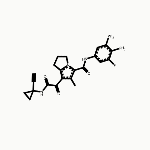 C#CC1(NC(=O)C(=O)c2c(C)c(C(=O)Nc3cc(F)c(P)c(P)c3)n3c2CCC3)CC1